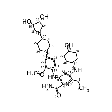 CCc1nc(C(N)=O)c(Nc2ccc(N3CCC(N4C[C@@H](O)[C@H](O)C4)CC3)cc2OC)nc1N[C@H]1CC[C@H](O)CC1